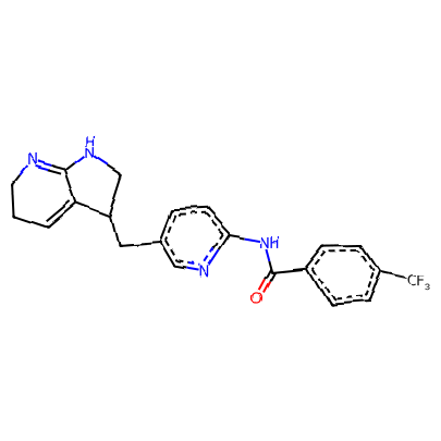 O=C(Nc1ccc(CC2CNC3=NCCC=C32)cn1)c1ccc(C(F)(F)F)cc1